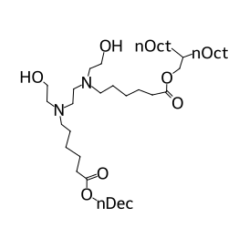 CCCCCCCCCCOC(=O)CCCCCN(CCO)CCN(CCO)CCCCCC(=O)OCC(CCCCCCCC)CCCCCCCC